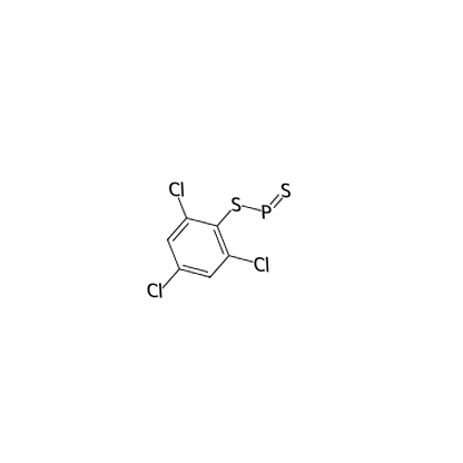 S=PSc1c(Cl)cc(Cl)cc1Cl